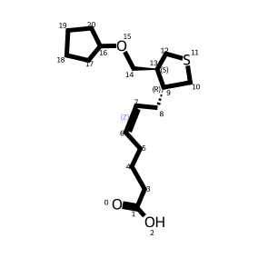 O=C(O)CCC/C=C\C[C@H]1CSC[C@@H]1COC1CCCC1